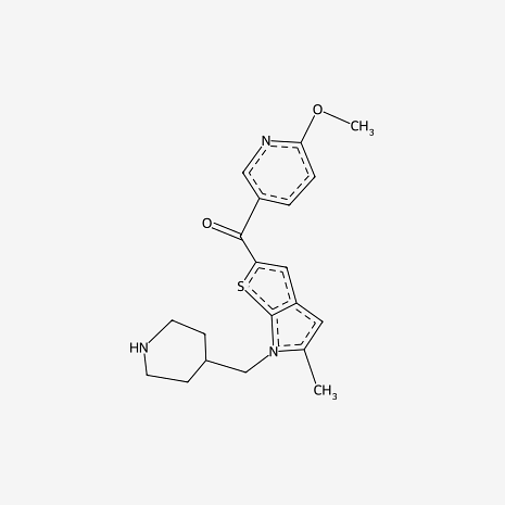 COc1ccc(C(=O)c2cc3cc(C)n(CC4CCNCC4)c3s2)cn1